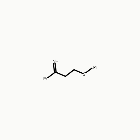 CC(C)SCCC(=N)C(C)C